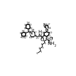 CCCCCCCN(C(N)=O)c1ccc(-n2ccnc2)cc1C(=O)NCC1CCN(C(c2ccccc2)c2ccccc2)CC1